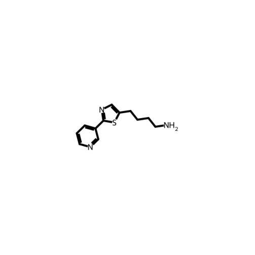 NCCCCc1cnc(-c2cccnc2)s1